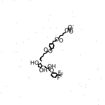 O=C(CCCCO[N+](=O)[O-])OCCc1ccc(OC(=O)CCC/C=C\C[C@@H]2[C@@H](/C=C/[C@@H](O)COc3cccc(C(F)(F)F)c3)[C@H](O)C[C@@H]2O)cc1